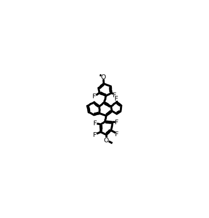 COc1cc(F)c(-c2c3ccccc3c(-c3c(F)c(F)c(OC)c(F)c3F)c3cccc(F)c23)c(F)c1